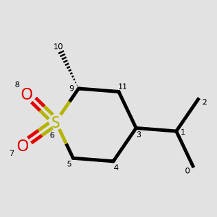 CC(C)C1CCS(=O)(=O)[C@H](C)C1